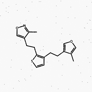 Cc1cocc1CCc1ccsc1CCc1conc1C